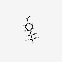 CCc1ccc(C(F)(F)C(F)(F)F)cc1